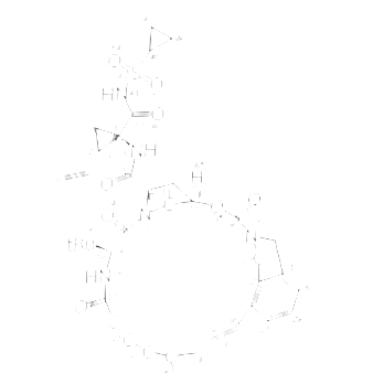 C=C[C@@H]1C[C@]1(NC(=O)[C@@H]1C[C@@H]2CN1C(=O)[C@H](C(C)(C)C)NC(=O)CCCCC/C=C/c1cccc3c1CN(C3)C(=O)O2)C(=O)NS(=O)(=O)C1CC1